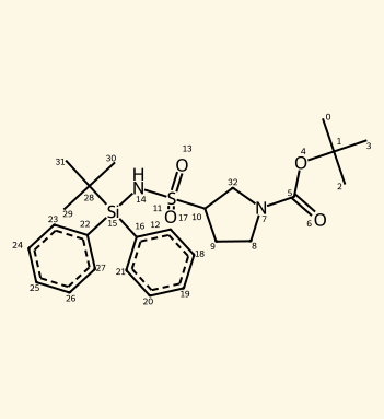 CC(C)(C)OC(=O)N1CCC(S(=O)(=O)N[Si](c2ccccc2)(c2ccccc2)C(C)(C)C)C1